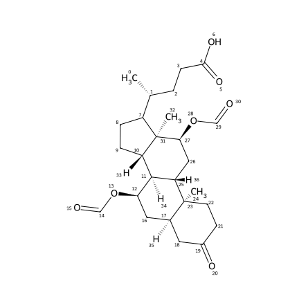 C[C@H](CCC(=O)O)C1CC[C@H]2[C@@H]3[C@H](OC=O)C[C@@H]4CC(=O)CC[C@]4(C)[C@H]3C[C@H](OC=O)[C@]12C